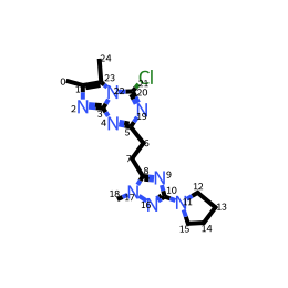 Cc1nc2nc(CCc3nc(N4CCCC4)nn3C)nc(Cl)n2c1C